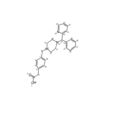 O=C(O)Cc1ccc(CN2CCN(C(c3ccccc3)c3ccccn3)CC2)cc1